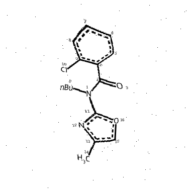 CCCCN(C(=O)c1ccccc1Cl)c1nc(C)co1